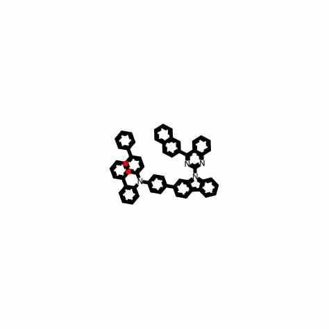 c1ccc(-c2ccc(N(c3ccc(-c4ccc5c6ccccc6n(-c6nc(-c7ccc8ccccc8c7)c7ccccc7n6)c5c4)cc3)c3ccccc3-c3ccccc3)cc2)cc1